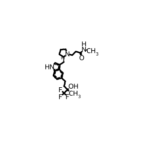 CNC(=O)CCN1CCC[C@@H]1Cc1c[nH]c2ccc(CCC(C)(O)C(F)(F)F)cc12